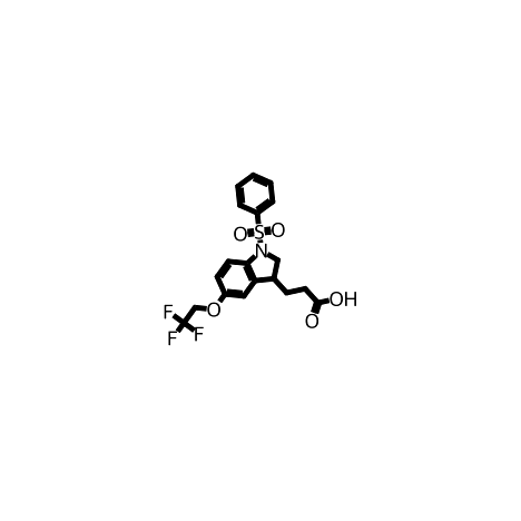 O=C(O)CCC1CN(S(=O)(=O)c2ccccc2)c2ccc(OCC(F)(F)F)cc21